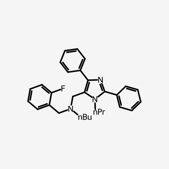 CCCCN(Cc1ccccc1F)Cc1c(-c2ccccc2)nc(-c2ccccc2)n1CCC